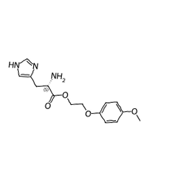 COc1ccc(OCCOC(=O)[C@@H](N)Cc2c[nH]cn2)cc1